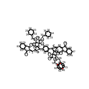 O=C1C(=Cc2nc3c(s2)-c2cc4c(cc2OC3(C(=O)OCc2ccccc2)C(=O)OCc2ccccc2)-c2sc(C=C3C(=O)c5ccccc5C3=O)nc2C(C(=O)OCc2ccccc2)(C(=O)OCc2ccccc2)O4)C(=O)c2ccccc21